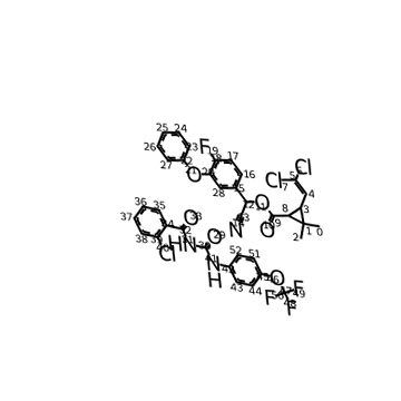 CC1(C)C(C=C(Cl)Cl)C1C(=O)OC(C#N)c1ccc(F)c(Oc2ccccc2)c1.O=C(NC(=O)c1ccccc1Cl)Nc1ccc(OC(F)(F)F)cc1